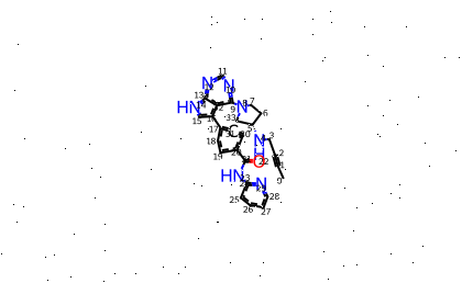 CC#CCN[C@H]1CCN(c2ncnc3[nH]cc(-c4ccc(C(=O)Nc5ccccn5)cc4)c23)C1